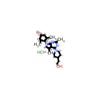 Cc1nc(N2CCC(CCO)CC2)c2c(C)cn(-c3c(C)cc(Br)cc3C)c2n1.Cl